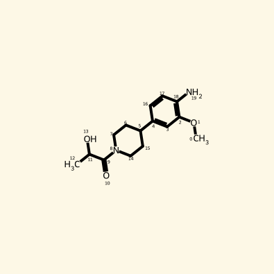 COc1cc(C2CCN(C(=O)C(C)O)CC2)ccc1N